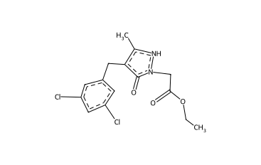 CCOC(=O)Cn1[nH]c(C)c(Cc2cc(Cl)cc(Cl)c2)c1=O